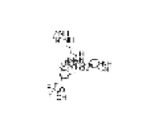 Cc1cc(C)c(S(=O)(=O)N[C@](CCCCNC2=NCCN2)(NC(=O)c2ccc3[nH]ncc3c2)C(=O)O)c(C)c1.O=C(O)C(F)(F)F